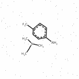 CN(C)C.FC(F)(F)c1cc[c]([AlH2])cc1